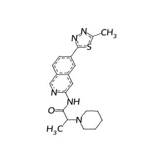 Cc1nnc(-c2ccc3cnc(NC(=O)C(C)N4CCCCC4)cc3c2)s1